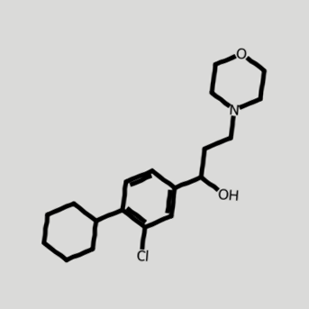 OC(CCN1CCOCC1)c1ccc(C2CCCCC2)c(Cl)c1